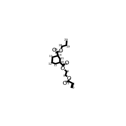 C=CC(=O)OCCOC(=O)C1CCCC(C(=O)OCCC)C1